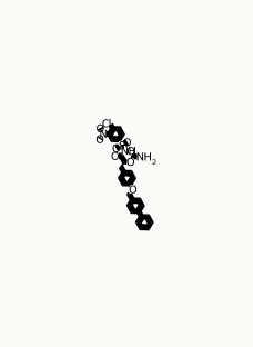 NC(=O)O[C@@H](Cc1ccc(OCc2ccc(-c3ccccc3)cc2)cc1)C(=O)NS(=O)(=O)c1ccc(Cl)c([N+](=O)[O-])c1